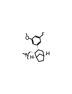 COc1cc(F)cc([C@@H]2C[C@H]3CC[C@H](C3)[C@@H]2CN(C)C)c1